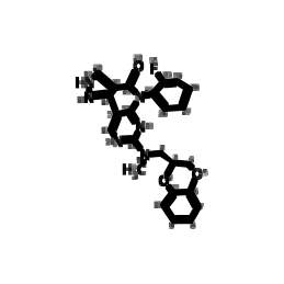 CN(C[C@H]1COc2ccccc2O1)c1ncc2c3n[nH]cc3c(=O)n(-c3ccccc3F)c2n1